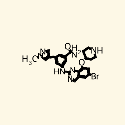 Cn1cc(-c2cc(Nc3ncc4cc(Br)cc(OC5CCNCC5)c4n3)cc(C(N)=O)c2)cn1